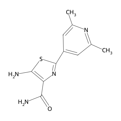 Cc1cc(-c2nc(C(N)=O)c(N)s2)cc(C)n1